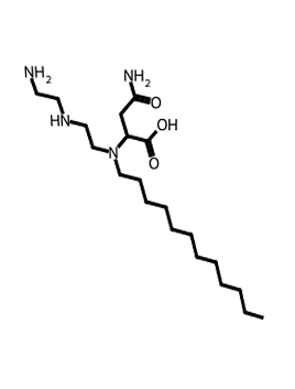 CCCCCCCCCCCCN(CCNCCN)C(CC(N)=O)C(=O)O